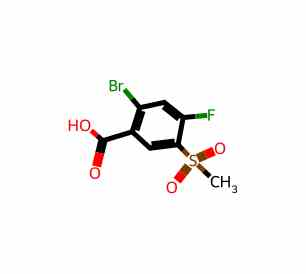 CS(=O)(=O)c1cc(C(=O)O)c(Br)cc1F